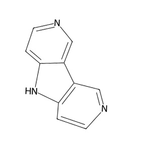 c1cc2[nH]c3ccncc3c2cn1